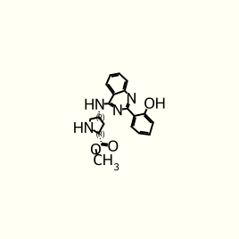 COC(=O)[C@H]1C[C@@H](Nc2nc(-c3ccccc3O)nc3ccccc23)CN1